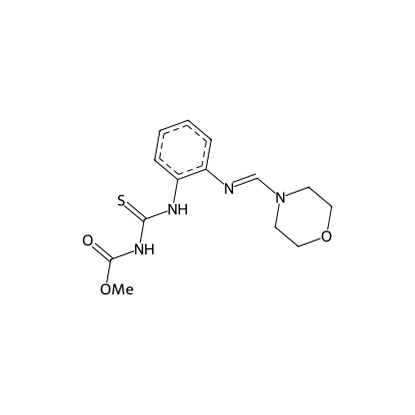 COC(=O)NC(=S)Nc1ccccc1N=CN1CCOCC1